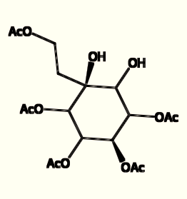 CC(=O)OCC[C@]1(O)C(O)C(OC(C)=O)[C@@H](OC(C)=O)C(OC(C)=O)C1OC(C)=O